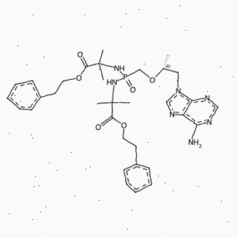 C[C@H](Cn1cnc2c(N)ncnc21)OCP(=O)(NC(C)(C)C(=O)OCCc1ccccc1)NC(C)(C)C(=O)OCCc1ccccc1